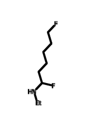 CCNC(F)CCCCCF